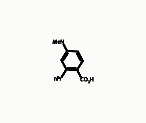 CCCc1cc(NC)ccc1C(=O)O